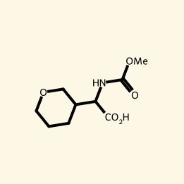 COC(=O)NC(C(=O)O)C1CCCOC1